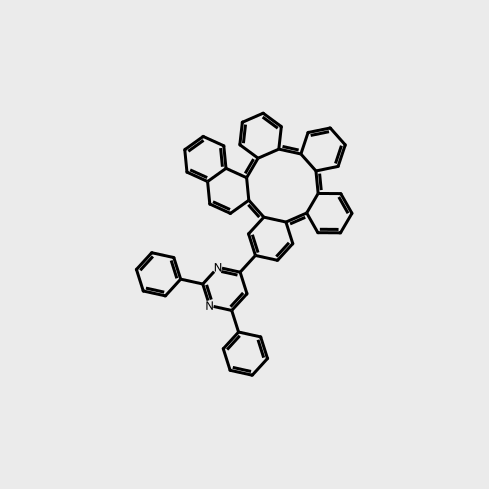 c1ccc(-c2cc(-c3ccc4c5ccccc5c5ccccc5c5ccccc5c5c6ccccc6ccc5c4c3)nc(-c3ccccc3)n2)cc1